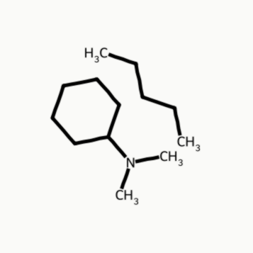 CCCCC.CN(C)C1CCCCC1